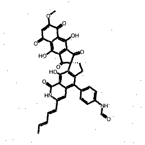 C/C=C/C=C/c1cc2c(-c3ccc(NC=O)cc3)c3c(c(O)c2c(=O)[nH]1)[C@@]1(CC3)C(=O)c2c(O)c3c(c(O)c2C1=O)C(=O)C(OC)=CC3=O